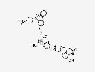 Cl.Cl.NC1CCC(N(C(=O)O)c2cc(CCCC(=O)Nc3ccc(CNC[C@@H](O)c4ccc(O)c5[nH]c(=O)ccc45)cn3)ccc2-c2ccccc2)CC1